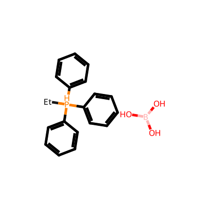 CC[PH](c1ccccc1)(c1ccccc1)c1ccccc1.OB(O)O